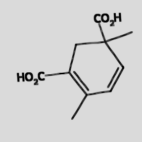 CC1=C(C(=O)O)CC(C)(C(=O)O)C=C1